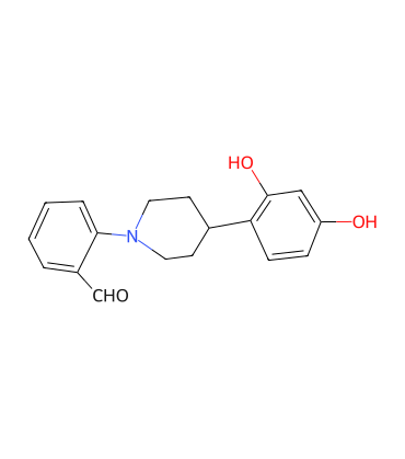 O=Cc1ccccc1N1CCC(c2ccc(O)cc2O)CC1